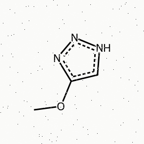 COc1c[nH]nn1